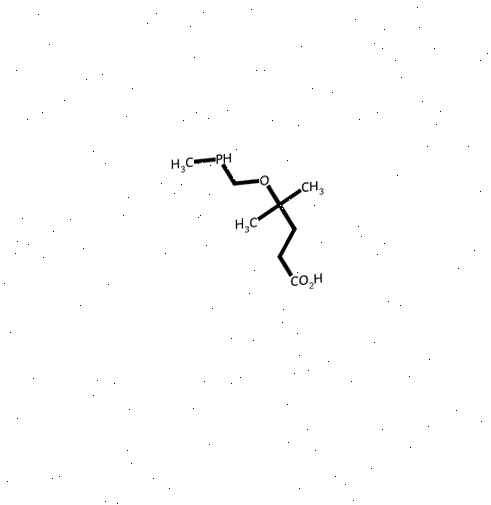 CPCOC(C)(C)CCC(=O)O